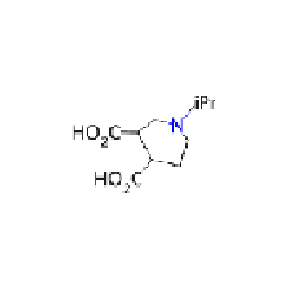 CC(C)N1CCC(C(=O)O)C(C(=O)O)C1